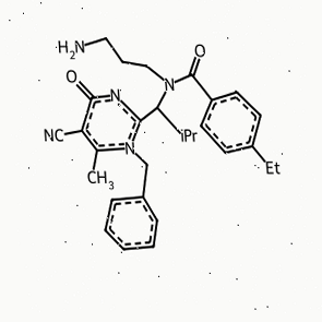 CCc1ccc(C(=O)N(CCCN)C(c2nc(=O)c(C#N)c(C)n2Cc2ccccc2)C(C)C)cc1